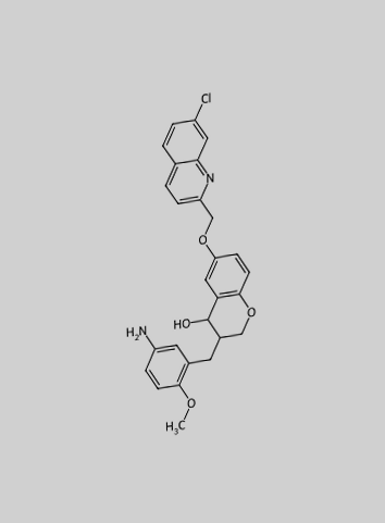 COc1ccc(N)cc1CC1COc2ccc(OCc3ccc4ccc(Cl)cc4n3)cc2C1O